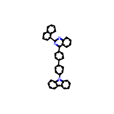 c1ccc2c(-c3nc(-c4ccc(-c5ccc(-n6c7ccccc7c7ccccc76)cc5)cc4)c4ccccc4n3)cccc2c1